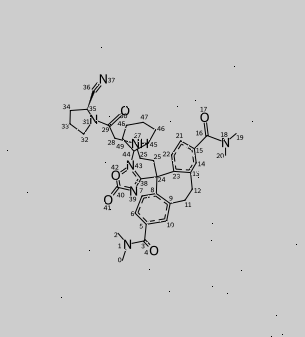 CN(C)C(=O)c1ccc2c(c1)CCc1cc(C(=O)N(C)C)ccc1C2(CCNCC(=O)N1CCC[C@H]1C#N)c1nc(=O)on1C1CCCCC1